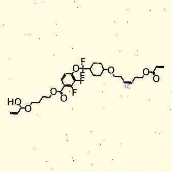 C=CC(=O)OCC/C=C\CCOC1CCC(C(F)(F)Oc2ccc(C(=O)OCCCCOC(O)C=C)c(F)c2F)CC1